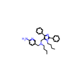 CCCCN(Cc1ccc(N)nc1)Cc1c(-c2ccccc2)nc(-c2ccccc2)n1CCCC